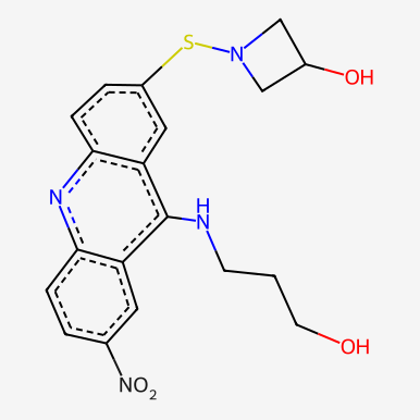 O=[N+]([O-])c1ccc2nc3ccc(SN4CC(O)C4)cc3c(NCCCO)c2c1